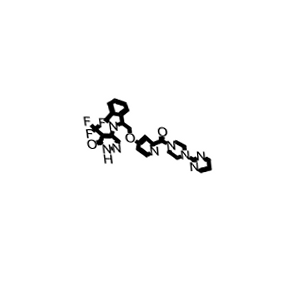 O=C(c1cc(OCC2c3ccccc3CN2c2cn[nH]c(=O)c2C(F)(F)F)ccn1)N1CCN(c2ncccn2)CC1